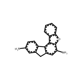 Nc1ccc2c(c1)Cc1cc(N)c3oc4ccccc4c3c1-2